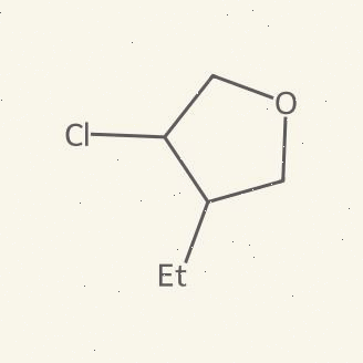 CCC1COCC1Cl